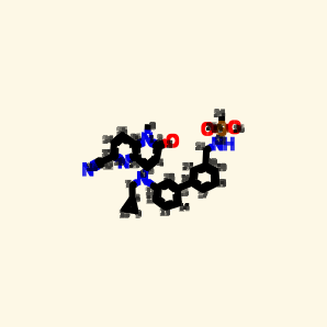 Cn1c(=O)cc(N(CC2CC2)c2cccc(-c3cccc(CNS(C)(=O)=O)c3)c2)c2nc(C#N)ccc21